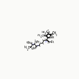 C=C/C(=C(CCC)\C(=C/CCC/C(=C/CC)c1[nH]c(C)c(C)c1C)C(C)(C)C)C(C)(C)C